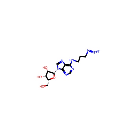 [N-]=[N+]=NCCCNc1ncnc2c1ncn2[C@@H]1O[C@H](CO)[C@H](O)[C@@H]1O